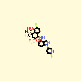 CC1(C)CC(O)(C(F)(F)F)C(Nc2cccc3c2cnn3-c2ccc(F)nc2)c2ccc(F)c(O)c21